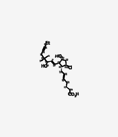 CCC#CCC(C)(C)[C@H](O)C=C[C@@H]1[C@@H](CC=CCCCC(=O)O)[C@H](Cl)C[C@H]1O